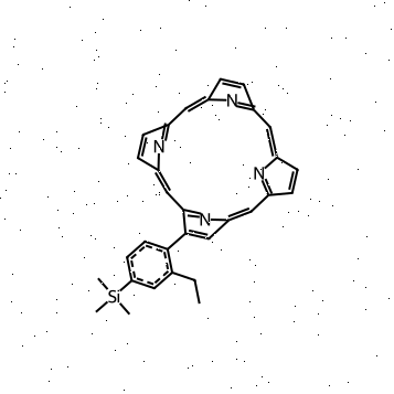 CCc1cc([Si](C)(C)C)ccc1C1=CC2=CC3=NC(=CC4=NC(=CC5=NC(=CC1=N2)C=C5)C=C4)C=C3